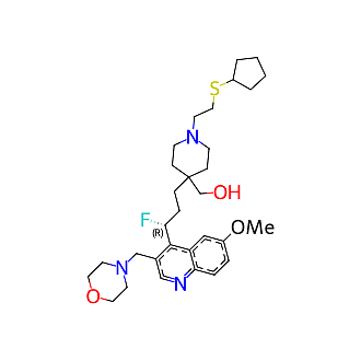 COc1ccc2ncc(CN3CCOCC3)c([C@H](F)CCC3(CO)CCN(CCSC4CCCC4)CC3)c2c1